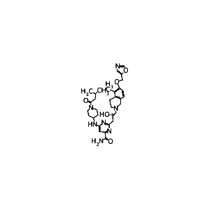 Cc1c(OCc2cnco2)ccc2c1CCN(C[C@@H](O)Cc1nc(NC3CCN(C(=O)CC(C)C)CC3)cc(C(N)=O)n1)C2